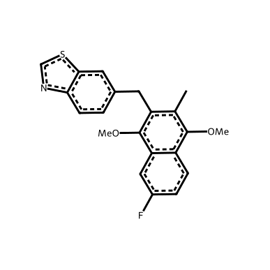 COc1c(C)c(Cc2ccc3ncsc3c2)c(OC)c2cc(F)ccc12